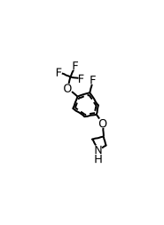 Fc1cc(OC2CNC2)ccc1OC(F)(F)F